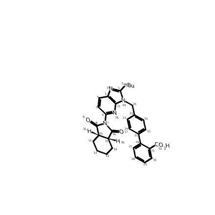 CCCCc1nc2ccc(N3C(=O)[C@H]4CCCC[C@H]4C3=O)nc2n1Cc1ccc(-c2ccccc2C(=O)O)cc1